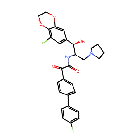 O=C(N[C@H](CN1CCCC1)[C@H](O)c1cc(F)c2c(c1)OCCO2)C(=O)c1ccc(-c2ccc(F)cc2)cc1